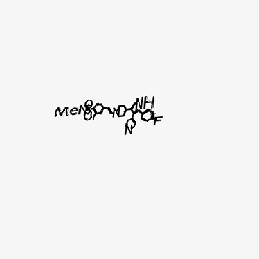 CNS(=O)(=O)c1ccc(C=CN2CC=C(c3c[nH]c(-c4ccc(F)cc4)c3-c3ccncc3)CC2)cc1C